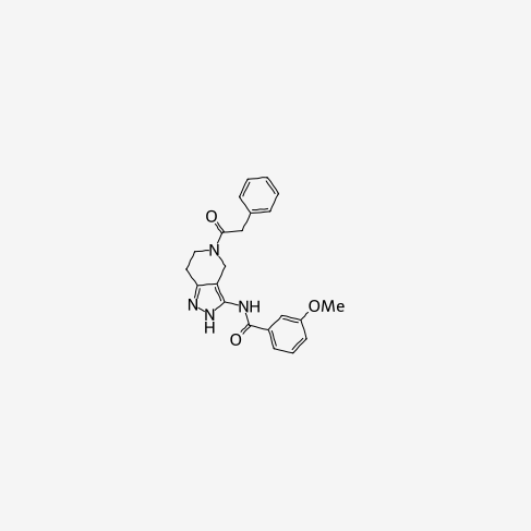 COc1cccc(C(=O)Nc2[nH]nc3c2CN(C(=O)Cc2ccccc2)CC3)c1